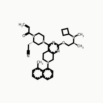 C=CC(=O)N1CCN(c2nc(OC[C@H](C)N(C)C3CCC3)nc3c2CCN(c2cccc4cccc(C)c24)C3)C[C@@H]1CC#N